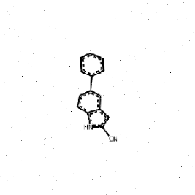 N#Cc1cc2cc(-c3ccccc3)ccc2[nH]1